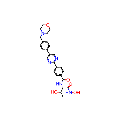 C[C@@H](O)[C@H](NC(=O)c1ccc(-c2ncc(-c3ccc(CN4CCOCC4)cc3)cn2)cc1)C(=O)NO